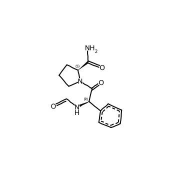 NC(=O)[C@@H]1CCCN1C(=O)[C@H](NC=O)c1ccccc1